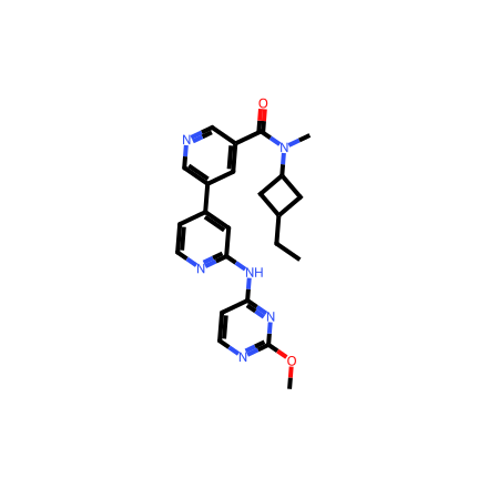 CCC1CC(N(C)C(=O)c2cncc(-c3ccnc(Nc4ccnc(OC)n4)c3)c2)C1